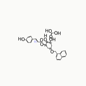 O=C(/C=C/c1ccc(O)cc1)O[C@@H]1C[C@@H](OCc2cccc3ccccc23)C[C@H](O)[C@H]1O.O=C(O)O